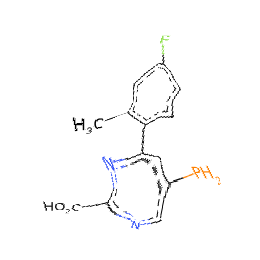 Cc1cc(F)ccc1-c1nc(C(=O)O)ncc1P